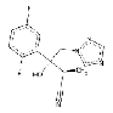 C[C@@H](C#N)[C@](O)(Cn1cncn1)c1cc(F)ccc1F